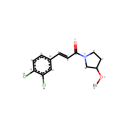 CCOC1CCN(C(=O)C=Cc2ccc(Cl)c(Cl)c2)C1